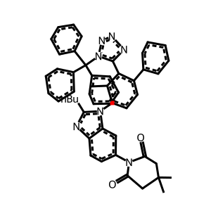 CCCCc1nc2ccc(N3C(=O)CC(C)(C)CC3=O)cc2n1-c1ccc(-c2ccccc2)c(-c2nnnn2C(c2ccccc2)(c2ccccc2)c2ccccc2)c1C